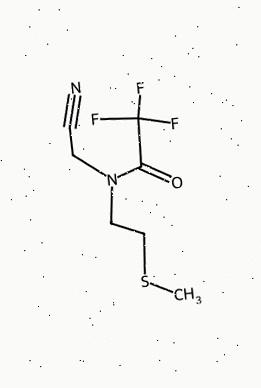 CSCCN(CC#N)C(=O)C(F)(F)F